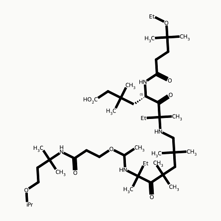 CCOC(C)(C)CCC(=O)N[C@@H](CC(C)(C)CC(=O)O)C(=O)C(C)(CC)NCC(C)(C)CC(C)(C)C(=O)C(C)(CC)NC(C)OCCC(=O)NC(C)(C)CCOC(C)C